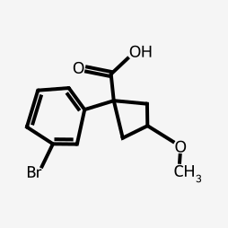 COC1CC(C(=O)O)(c2cccc(Br)c2)C1